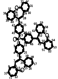 O=P(c1ccc(C2=Cc3ccccc3Oc3ccccc32)cc1)(c1ccc(C2=Cc3ccccc3Oc3ccccc32)cc1)c1ccc(C2=Cc3ccccc3Oc3ccccc32)cc1